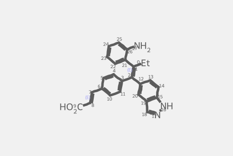 CC/C(=C(/c1ccc(/C=C/C(=O)O)cc1)c1ccc2[nH]ncc2c1)c1ccccc1N